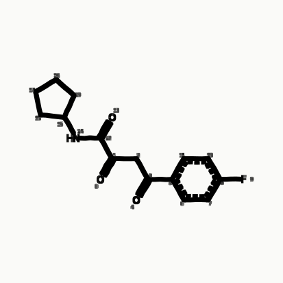 O=C(CC(=O)c1ccc(F)cc1)C(=O)NC1CCCC1